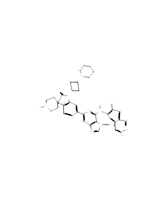 CC(=O)N1CCC2(CC1)C(=O)N([C@H]1C[C@@H](N3CCCCC3)C1)c1cc(-c3cc4ncn(C(C)C)c4c(N(C)c4cc5ccncc5cc4F)n3)ccc12